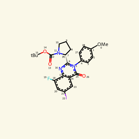 COc1ccc(-n2c([C@H]3CCCN3C(=O)OC(C)(C)C)nc3c(F)cc(I)cc3c2=O)cc1